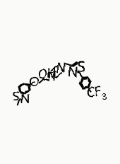 Cc1nc2cc(OC[C@@H](O)CN3CCN(Cc4csc(-c5ccc(C(F)(F)F)cc5)n4)CC3)ccc2s1